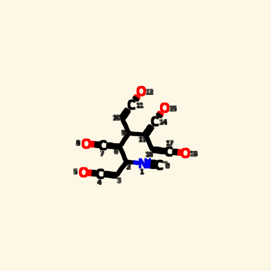 [C-]#[N+]C(C=C=O)C(=C=O)C(C=C=O)C(=C=O)C=C=O